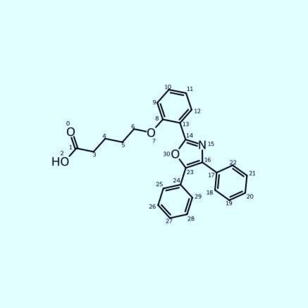 O=C(O)CCCCOc1ccccc1-c1nc(-c2ccccc2)c(-c2ccccc2)o1